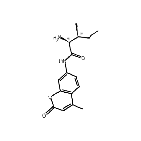 CC[C@H](C)[C@H](N)C(=O)Nc1ccc2c(C)cc(=O)oc2c1